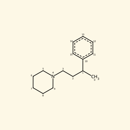 CC(CCN1CCCCC1)c1ccccc1